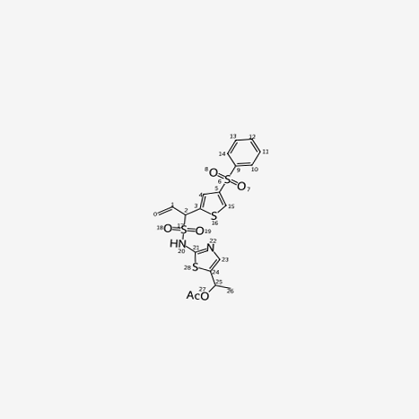 C=CC(c1cc(S(=O)(=O)c2ccccc2)cs1)S(=O)(=O)Nc1ncc(C(C)OC(C)=O)s1